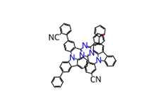 N#Cc1ccc(-c2nc(-c3ccccc3)nc(-c3cc(-c4ccccc4C#N)ccc3-n3c4ccccc4c4cc(-c5ccccc5)ccc43)n2)c(-n2c3ccccc3c3cc(-c4ccccc4)ccc32)c1